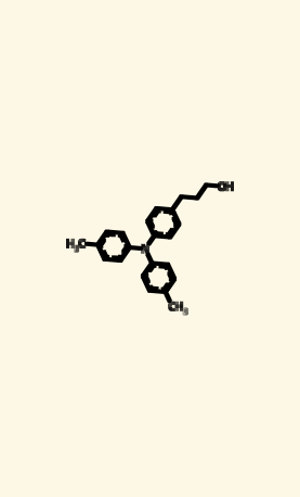 Cc1ccc(N(c2ccc(C)cc2)c2ccc(CCCO)cc2)cc1